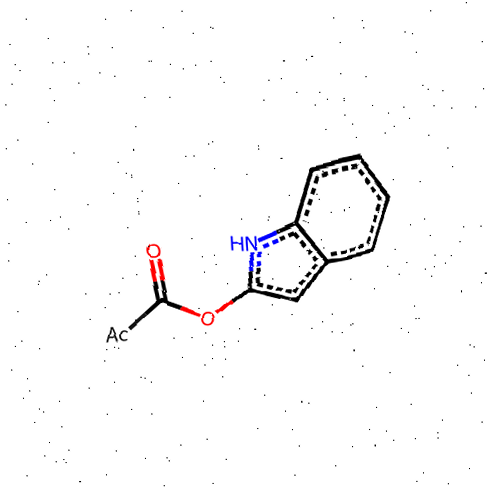 CC(=O)C(=O)Oc1cc2ccccc2[nH]1